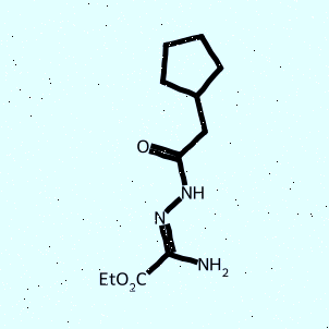 CCOC(=O)C(N)=NNC(=O)CC1CCCC1